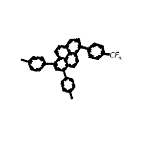 Cc1ccc(-c2cc(-c3ccc(C)cc3)c3ccc4c(-c5ccc(C(F)(F)F)cc5)ccc5ccc2c3c54)cc1